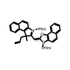 C=CCC1(C)C(/C=C2\Oc3c(ccc4ccccc34)N2CCCCCC)=[N+](CCCCCC)c2ccc3ccccc3c21